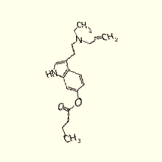 C=CCN(CC)CCc1c[nH]c2cc(OC(=O)CCC)ccc12